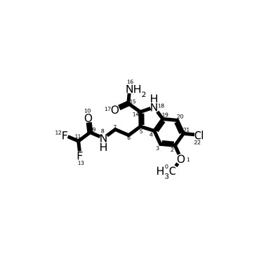 COc1cc2c(CCNC(=O)C(F)F)c(C(N)=O)[nH]c2cc1Cl